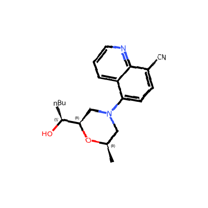 CCCC[C@H](O)[C@H]1CN(c2ccc(C#N)c3ncccc23)C[C@@H](C)O1